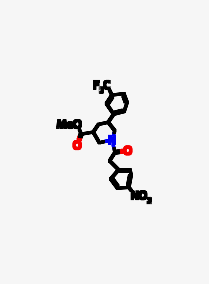 COC(=O)C1CC(c2cccc(C(F)(F)F)c2)CN(C(=O)Cc2ccc([N+](=O)[O-])cc2)C1